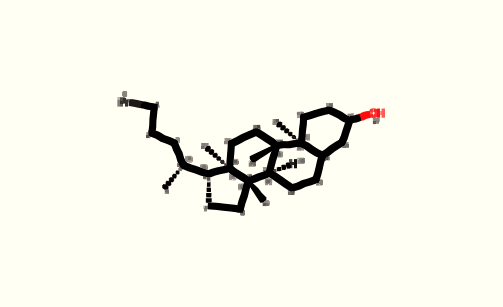 CC(C)CCC[C@@H](C)[C@H]1CC[C@@]2(C)[C@@H]3CCC4CC(O)CC[C@]4(C)[C@@]3(C)CC[C@]12C